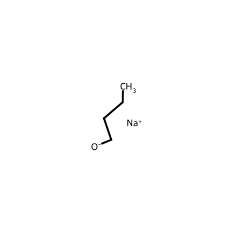 CCCC[O-].[Na+]